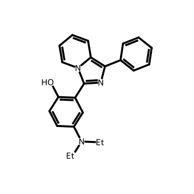 CCN(CC)c1ccc(O)c(-c2nc(-c3ccccc3)c3ccccn23)c1